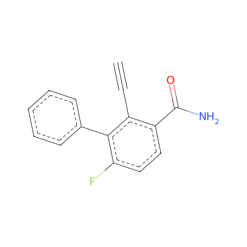 C#Cc1c(C(N)=O)ccc(F)c1-c1ccccc1